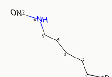 CCCCCCCCCNN=O